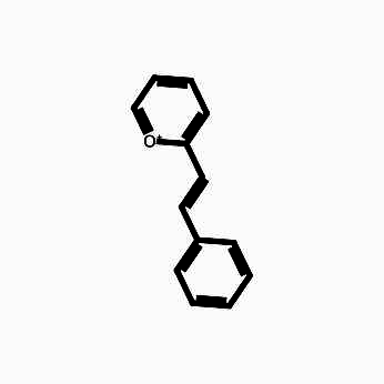 C(=C\c1cccc[o+]1)/c1ccccc1